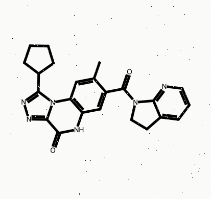 Cc1cc2c(cc1C(=O)N1CCc3cccnc31)[nH]c(=O)c1nnc(C3CCCC3)n12